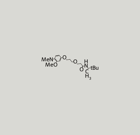 CNc1ccc(OCCCOCCC(=O)NC(C)C(C)(C)C)cc1OC